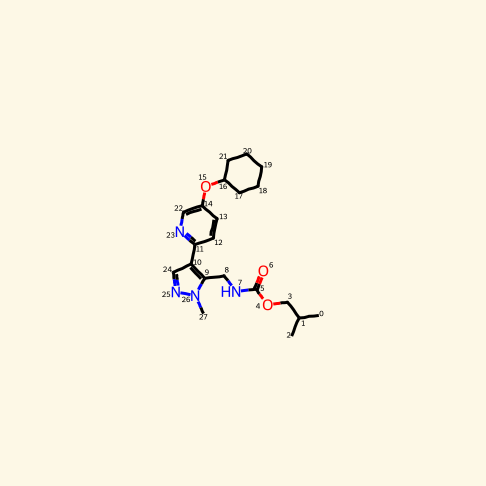 CC(C)COC(=O)NCc1c(-c2ccc(OC3CCCCC3)cn2)cnn1C